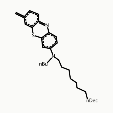 C=c1ccc2c(c1)Sc1cc(N(CCCC)CCCCCCCCCCCCCCCCC)ccc1N=2